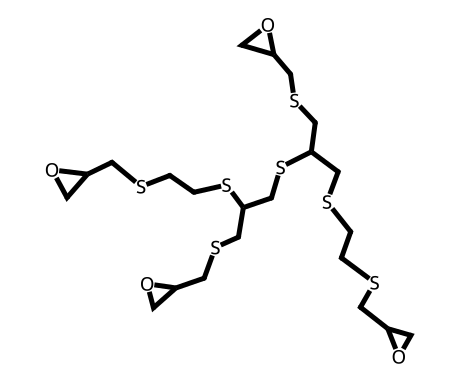 C(CSCC(CSCC1CO1)SCC(CSCC1CO1)SCCSCC1CO1)SCC1CO1